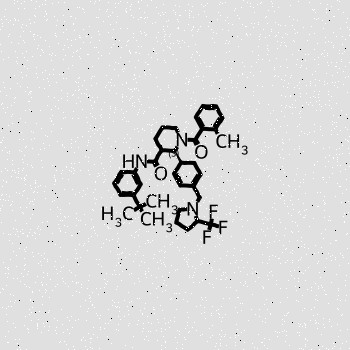 Cc1ccccc1C(=O)N1CCCC(C(=O)Nc2cccc(C(C)(C)C)c2)[C@@H]1C1C=CC(CN2CCCC2C(F)(F)F)=CC1